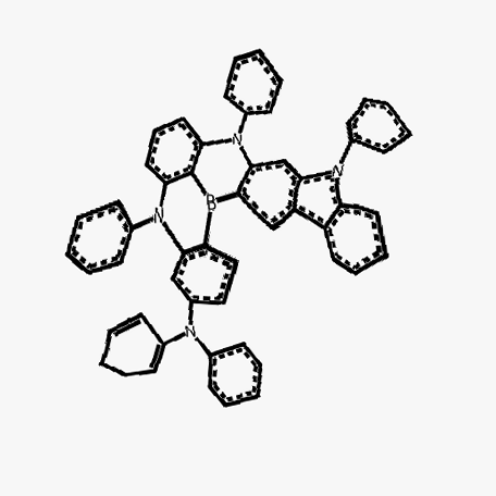 C1=CC(N(c2ccccc2)c2ccc3c(c2)N(c2ccccc2)c2cccc4c2B3c2cc3c5ccccc5n(-c5ccccc5)c3cc2N4c2ccccc2)=CCC1